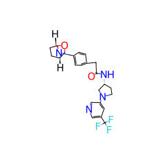 O=C(Cc1ccc(N2C[C@@H]3CC[C@H]2CO3)cc1)N[C@@H]1CCN(c2cncc(C(F)(F)F)c2)C1